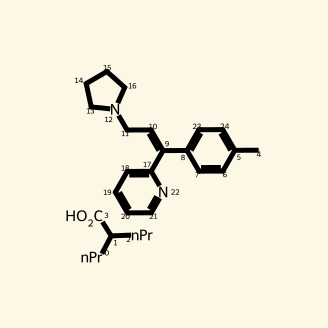 CCCC(CCC)C(=O)O.Cc1ccc(C(=CCN2CCCC2)c2ccccn2)cc1